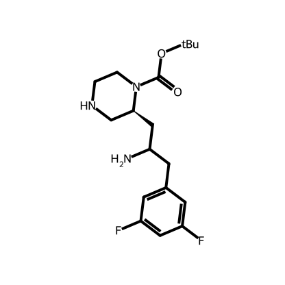 CC(C)(C)OC(=O)N1CCNC[C@@H]1CC(N)Cc1cc(F)cc(F)c1